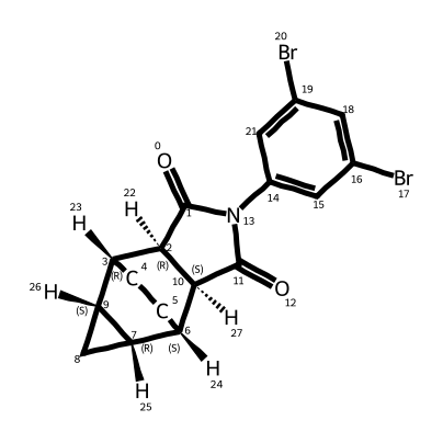 O=C1[C@@H]2[C@@H]3CC[C@@H]([C@@H]4C[C@@H]43)[C@@H]2C(=O)N1c1cc(Br)cc(Br)c1